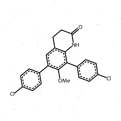 COc1c(-c2ccc(Cl)cc2)cc2c(c1-c1ccc(Cl)cc1)NC(=O)CC2